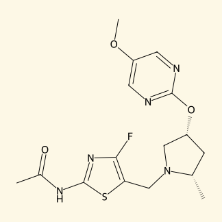 COc1cnc(O[C@@H]2C[C@H](C)N(Cc3sc(NC(C)=O)nc3F)C2)nc1